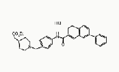 CCOC(=O)CC1CCN(Cc2ccc(NC(=O)C3=Cc4cc(-c5ccccc5)ccc4CC3)cc2)CC1.Cl